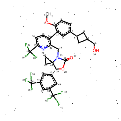 COc1ccc(C2CC(CO)C2)cc1-c1ccc(C(F)(F)F)nc1CN1C(=O)O[C@H](c2cc(C(F)(F)F)cc(C(F)(F)F)c2)C12CC2